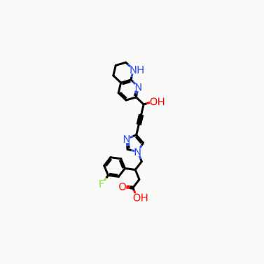 O=C(O)CC(Cn1cnc(C#CC(O)c2ccc3c(n2)NCCC3)c1)c1cccc(F)c1